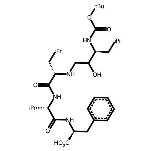 CC(C)C[C@H](NCC(O)[C@H](CC(C)C)NC(=O)OC(C)(C)C)C(=O)N[C@H](C(=O)N[C@@H](Cc1ccccc1)C(=O)O)C(C)C